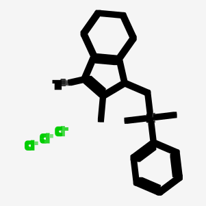 CC1=[C]([Ti+3])C2=C(CCCC2)C1C[Si](C)(C)c1ccccc1.[Cl-].[Cl-].[Cl-]